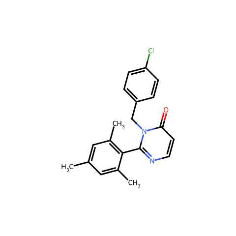 Cc1cc(C)c(-c2nccc(=O)n2Cc2ccc(Cl)cc2)c(C)c1